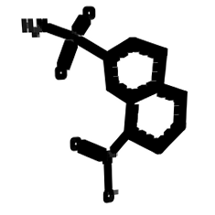 NS(=O)(=O)c1ccc2cccc([N+](=O)[O-])c2c1